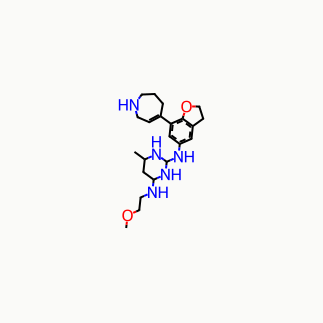 COCCNC1CC(C)NC(Nc2cc3c(c(C4=CCNCCC4)c2)OCC3)N1